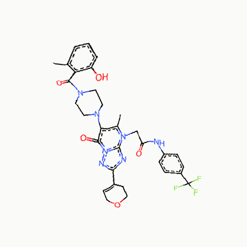 Cc1cccc(O)c1C(=O)N1CCN(c2c(C)n(CC(=O)Nc3ccc(C(F)(F)F)cc3)c3nc(C4=CCOCC4)nn3c2=O)CC1